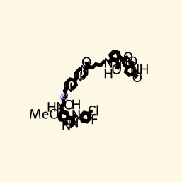 COc1cc2ncnc(Nc3ccc(F)c(Cl)c3)c2cc1NC(=O)/C=C/CN1CCC(N2CCN(C(=O)CCCCNc3cccc4c3C(=O)N(C3CCC(=O)NC3=O)C4=O)CC2)CC1